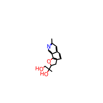 Cc1cc2ccc3c(c2cn1)OC(C(C)(O)CO)C3